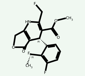 COC(=O)C1=C(CF)NC2=C(C(=O)OC2)[C@H]1c1cccc(F)c1[C@H](C)F